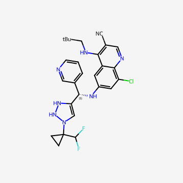 CC(C)(C)CNc1c(C#N)cnc2c(Cl)cc(N[C@H](C3=CN(C4(C(F)F)CC4)NN3)c3cccnc3)cc12